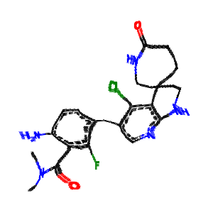 CN(C)C(=O)c1c(N)ccc(-c2cnc3c(c2Cl)C2(CCC(=O)NC2)CN3)c1F